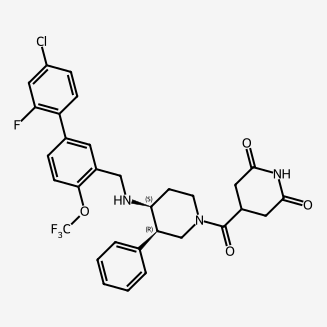 O=C1CC(C(=O)N2CC[C@H](NCc3cc(-c4ccc(Cl)cc4F)ccc3OC(F)(F)F)[C@H](c3ccccc3)C2)CC(=O)N1